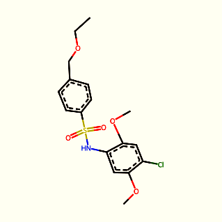 CCOCc1ccc(S(=O)(=O)Nc2cc(OC)c(Cl)cc2OC)cc1